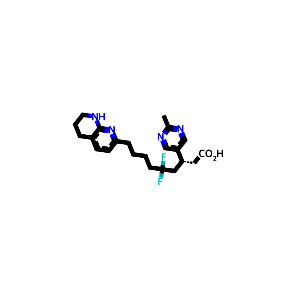 Cc1ncc([C@H](CC(=O)O)CC(F)(F)CCCCc2ccc3c(n2)NCCC3)cn1